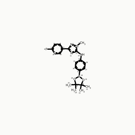 Cn1nc(-c2ccc(F)nc2)nc1Nc1ccc(B2OC(C)(C)C(C)(C)O2)cc1